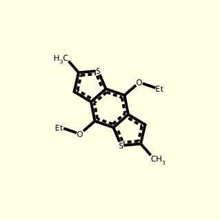 CCOc1c2cc(C)sc2c(OCC)c2cc(C)sc12